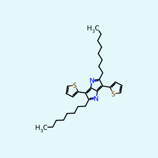 CCCCCCCCC1=NC2=C(c3cccs3)C(CCCCCCCC)=NC2=C1c1cccs1